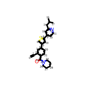 C#Cc1cc(-c2csc(-c3ccnc(CC(C)C)c3)c2)ccc1C(=O)N1CCCCC1